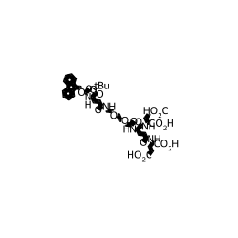 CC(C)(C)OC(=O)C(CCC(=O)NCCOCCOCC(=O)NC(CCC(=O)NC(CCC(=O)O)C(=O)O)C(=O)NC(CCC(=O)O)C(=O)O)NC(=O)OCC1c2ccccc2-c2ccccc21